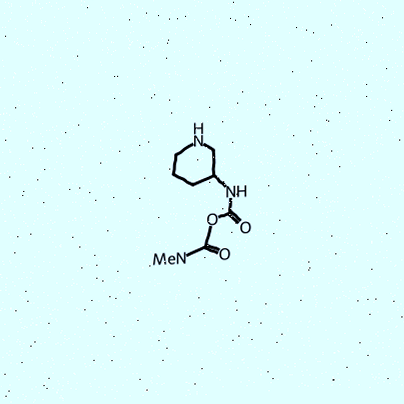 CNC(=O)OC(=O)NC1CCCNC1